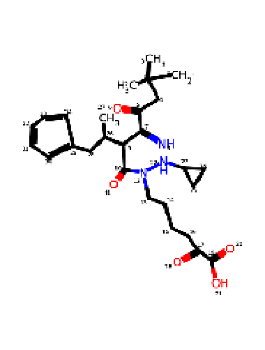 [CH2]C(C)(C)CC(=O)C(=N)C(C(=O)N(CCCCC(=O)C(=O)O)NC1CC1)C(C)Cc1ccccc1